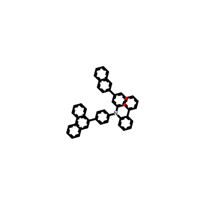 c1ccc(-c2ccccc2N(c2ccc(-c3cc4ccccc4c4ccccc34)cc2)c2cccc(-c3ccc4ccccc4c3)c2)cc1